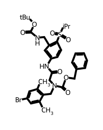 Cc1cc(Br)cc(C)c1CN(CC(=O)Nc1ccc(S(=O)(=O)C(C)C)c(CNC(=O)OC(C)(C)C)c1)C(=O)OCc1ccccc1